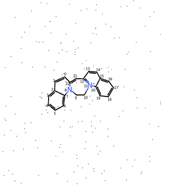 C1=Cc2ccccc2N2CC[n+]3c(ccc4ccccc43)C=C12